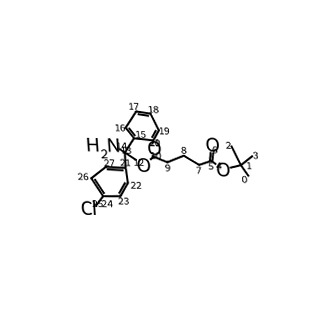 CC(C)(C)OC(=O)CCCC(=O)OC(N)(c1ccccc1)c1ccc(Cl)cc1